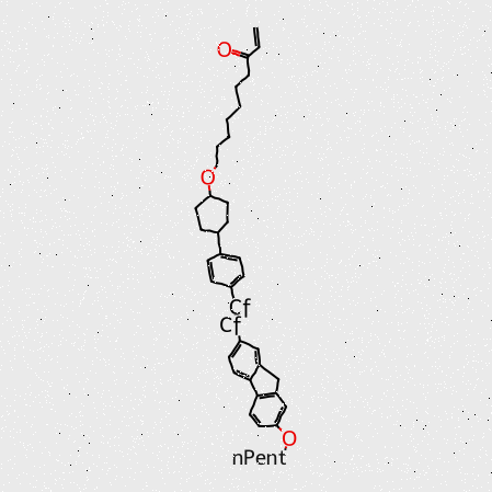 C=CC(=O)CCCCCCCOC1CCC(c2cc[c]([Cf]=[Cf][c]3ccc4c(c3)Cc3cc(OCCCCC)ccc3-4)cc2)CC1